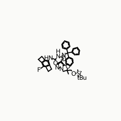 CC1(CO[Si](C)(C)C(C)(C)C)Cn2ncc(S(=O)(=NC(c3ccccc3)(c3ccccc3)c3ccccc3)NC(=O)Nc3c4c(c(F)c5c3CC5)CC4)c2O1